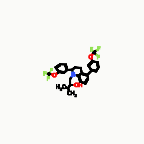 CC(C)C(O)CN1c2cccc(-c3cccc(OC(F)(F)F)c3)c2CCC1c1cccc(OC(F)(F)F)c1